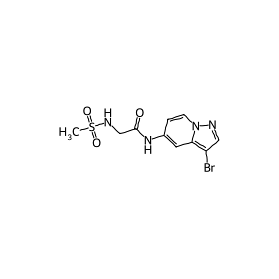 CS(=O)(=O)NCC(=O)Nc1ccn2ncc(Br)c2c1